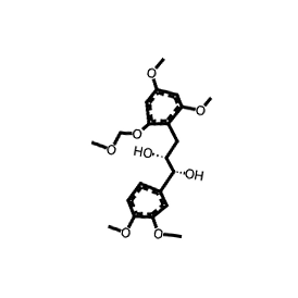 COCOc1cc(OC)cc(OC)c1C[C@@H](O)[C@H](O)c1ccc(OC)c(OC)c1